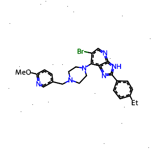 CCc1ccc(-c2nc3c(N4CCN(Cc5ccc(OC)nc5)CC4)c(Br)cnc3[nH]2)cc1